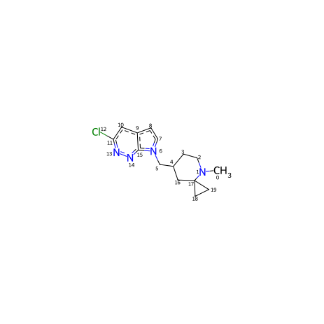 CN1CCC(Cn2ccc3cc(Cl)nnc32)CC12CC2